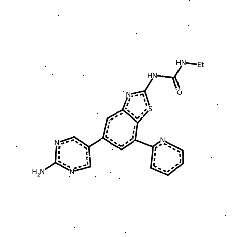 CCNC(=O)Nc1nc2cc(-c3cnc(N)nc3)cc(-c3ccccn3)c2s1